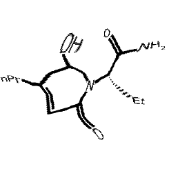 CCCC1=CC(=O)N([C@@H](CC)C(N)=O)C1O